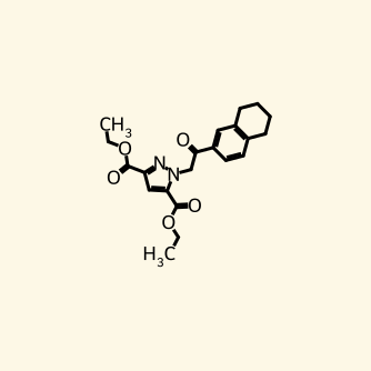 CCOC(=O)c1cc(C(=O)OCC)n(CC(=O)c2ccc3c(c2)CCCC3)n1